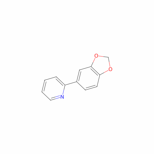 c1ccc(-c2ccc3c(c2)OCO3)nc1